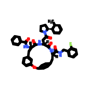 CC1C=CC=CC1[C@H]1CCCN1C(=O)C[C@@H]1NC(=O)[C@@H](NC(=O)c2ccccc2)Cc2cccc(c2)Oc2ccc(cc2)C[C@@H](C(=O)NCc2ccccc2F)NC1=O